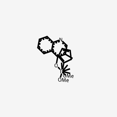 C[O][Ti]([CH3])([CH3])([CH3])([CH3])([CH3])([O]C)([O]c1c(C)cnc2ccccc12)[C]1=CC=CC1